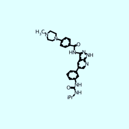 CC(C)NC(=O)Nc1cccc(-c2cnc3[nH]nc(NC(=O)c4ccc(N5CCN(C)CC5)cc4)c3c2)c1